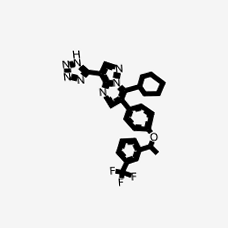 CC(Oc1ccc(-c2cnc3c(-c4nnn[nH]4)cnn3c2C2CCCCC2)cc1)c1cccc(C(F)(F)F)c1